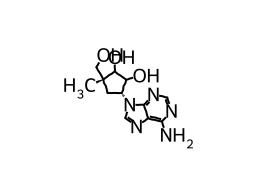 C[C@]1(CO)C[C@@H](n2cnc3c(N)ncnc32)C(O)C1O